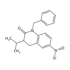 CC(C)C1Cc2cc([N+](=O)[O-])ccc2N(Cc2ccccc2)C1=O